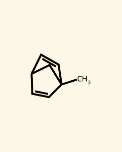 CC12C=CC(C=C1)C2